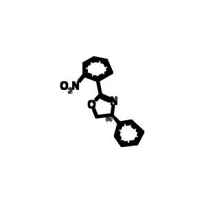 O=[N+]([O-])c1ccccc1C1=N[C@@H](c2ccccc2)CO1